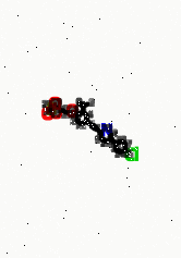 C=C(C)c1cc(C#Cc2ccc(-c3ccc(Cl)cc3)cn2)ccc1OCCOS(C)(=O)=O